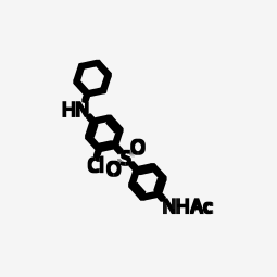 CC(=O)Nc1ccc(S(=O)(=O)c2ccc(NC3CCCCC3)cc2Cl)cc1